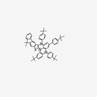 CC(C)(C)c1ccc(-c2cc3c4c(c2)N(c2ccc(C(C)(C)C)cc2)c2c(sc5cc6c(cc25)-c2ccccc2C6(C)C)N4c2cc(C(C)(C)C)ccc2N3c2ccc(C(C)(C)C)cc2)cc1